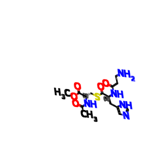 COC(=O)[C@H](CSC(=O)[C@H](Cc1cnc[nH]1)NC(=O)CCN)NC(C)=O